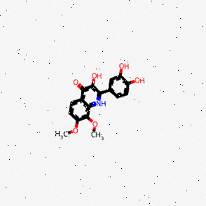 COc1ccc2c(=O)c(O)c(-c3ccc(O)c(O)c3)[nH]c2c1OC